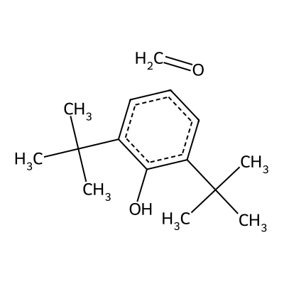 C=O.CC(C)(C)c1cccc(C(C)(C)C)c1O